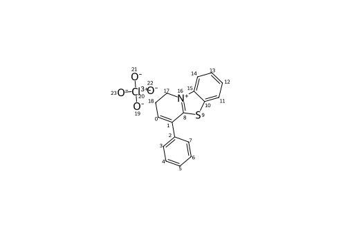 C1=C(c2ccccc2)c2sc3ccccc3[n+]2CC1.[O-][Cl+3]([O-])([O-])[O-]